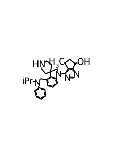 CC(C)N(Cc1cccc2c1C1(CCNCC1)CN2c1ncnc2c1[C@H](C)C[C@H]2O)c1ccccc1